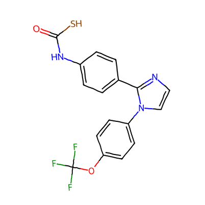 O=C(S)Nc1ccc(-c2nccn2-c2ccc(OC(F)(F)F)cc2)cc1